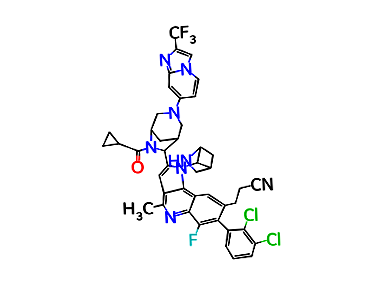 Cc1nc2c(F)c(-c3cccc(Cl)c3Cl)c(CCC#N)cc2c2c1cc(C1C3CC(CN(c4ccn5cc(C(F)(F)F)nc5c4)C3)N1C(=O)C1CC1)n2C1C2CNC1C2